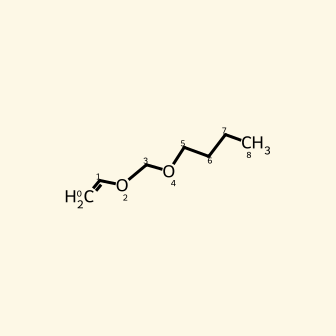 C=COCOCCCC